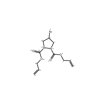 C=CCOC(=O)N1CC(C(C)=O)CN1C(=O)OCC=C